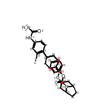 NC(=O)Nc1ccc(C2CCC(=NOC3CC4CCC(C3)N4C(=O)Oc3ccccc3)CC2)c(F)c1